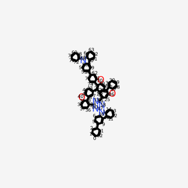 c1ccc(-c2ccc3c(c2)c2ccccc2n3-c2nc(-c3ccc4c(c3)oc3ccccc34)nc(-c3cccc4oc5ccc(-c6cccc7oc8cc(-c9ccc%10c(c9)c9ccccc9n%10-c9ccccc9)ccc8c67)cc5c34)n2)cc1